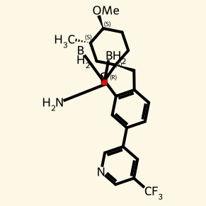 BC1(B)OC(N)=N[C@]12c1cc(-c3cncc(C(F)(F)F)c3)ccc1C[C@@]21CC[C@H](OC)[C@@H](C)C1